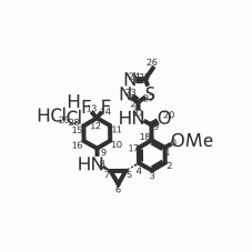 COc1ccc([C@@H]2C[C@H]2NC2CCC(F)(F)CC2)cc1C(=O)Nc1nnc(C)s1.Cl.Cl